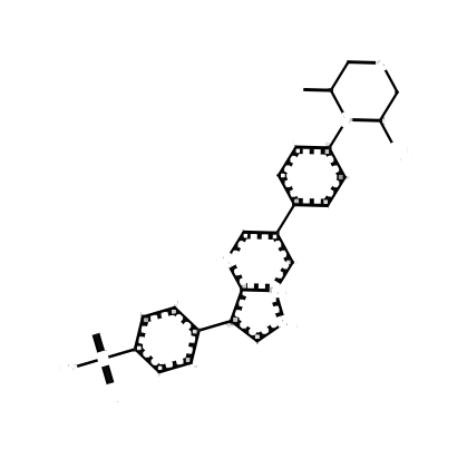 CC1CNCC(C)N1c1ccc(-c2cnc3c(-c4ccc(S(N)(=O)=O)cc4)cnn3c2)cc1